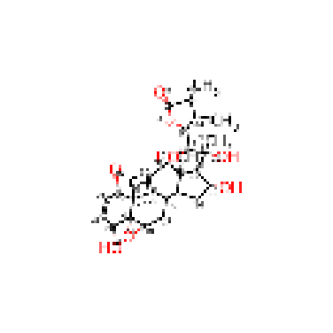 CC1C(=O)OC(C(O)C(C)(O)C2C(O)CC3C4CC5OC56C(O)C=CC(=O)C6(C)C4CCC32C)C1C